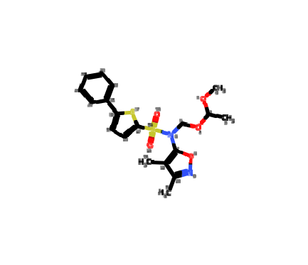 COC(C)OCN(c1onc(C)c1C)S(=O)(=O)c1ccc(-c2ccccc2)s1